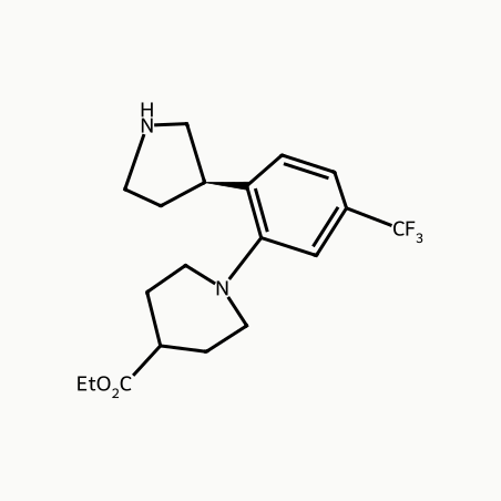 CCOC(=O)C1CCN(c2cc(C(F)(F)F)ccc2[C@H]2CCNC2)CC1